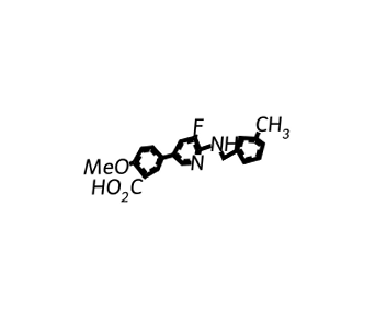 COc1ccc(-c2cnc(NCc3cccc(C)c3)c(F)c2)cc1C(=O)O